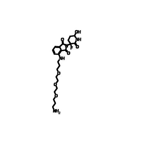 NCCCOCCOCCOCCCNc1cccc2c1C(=O)N(C1(F)CCC(O)NC1=O)C2=O